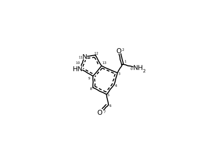 NC(=O)c1cc(C=O)cc2[nH]ncc12